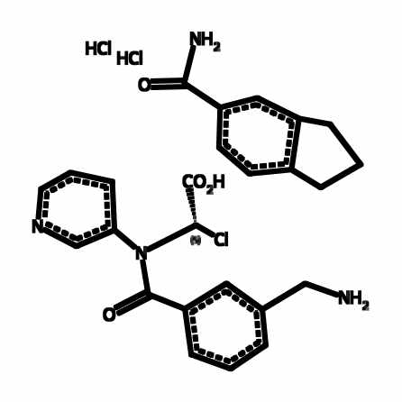 Cl.Cl.NC(=O)c1ccc2c(c1)CCC2.NCc1cccc(C(=O)N(c2cccnc2)[C@@H](Cl)C(=O)O)c1